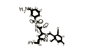 Cc1cc(C)c(Cn2nc(CC(C)C)cc2C(=O)NS(=O)(=O)c2cccc(N)c2)c(C)c1